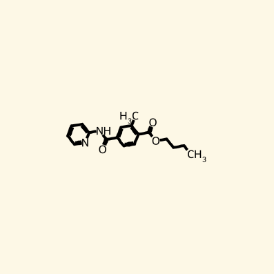 CCCCOC(=O)c1ccc(C(=O)Nc2ccccn2)cc1C